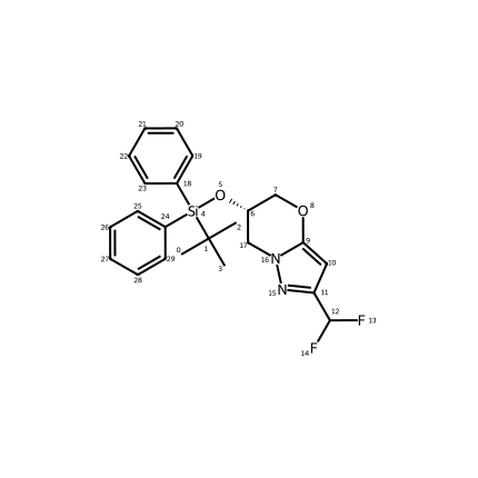 CC(C)(C)[Si](O[C@@H]1COc2cc(C(F)F)nn2C1)(c1ccccc1)c1ccccc1